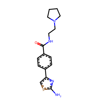 Nc1nc(-c2ccc(C(=O)NCCN3CCCC3)cc2)cs1